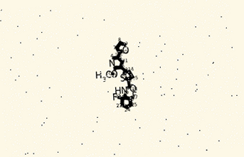 COc1ncc(-c2ccco2)cc1-c1ccc(C(=O)Nc2c(F)cccc2F)s1